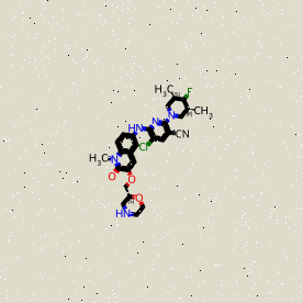 C[C@@H]1CN(c2nc(Nc3ccc4c(c3)cc(OC[C@@H]3CNCCO3)c(=O)n4C)c(Cl)cc2C#N)C[C@H](C)C1F